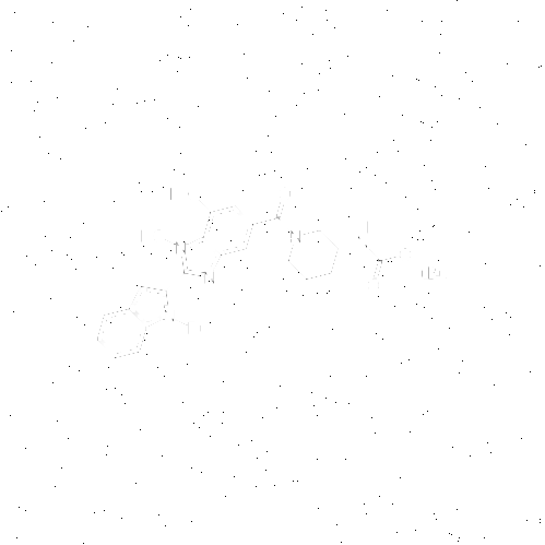 CCn1c(-c2nc3cc(C(=O)N4CCC[C@@H](NC(=O)OC(C)(C)C)C4)cc(C(F)(F)F)c3n2C)cc2ccccc21